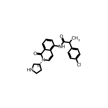 CC(C(=O)Nc1cccc2c(=O)n([C@@H]3CCNC3)ccc12)c1ccc(Cl)cc1